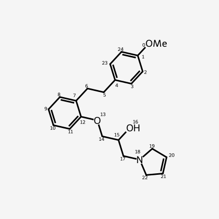 COc1ccc(CCc2ccccc2OCC(O)CN2CC=CC2)cc1